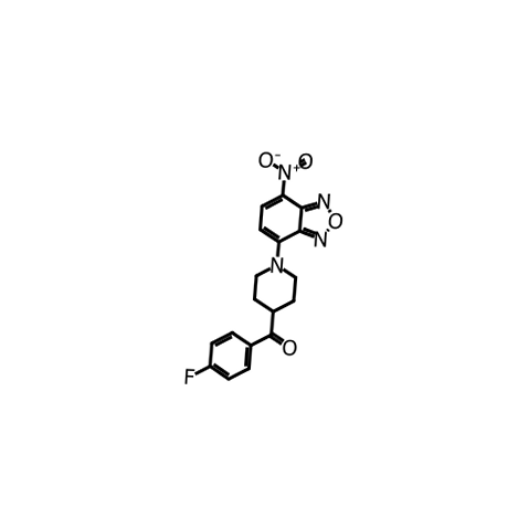 O=C(c1ccc(F)cc1)C1CCN(c2ccc([N+](=O)[O-])c3nonc23)CC1